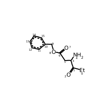 CCC(=O)C(N)CC(=O)OCc1ccccc1